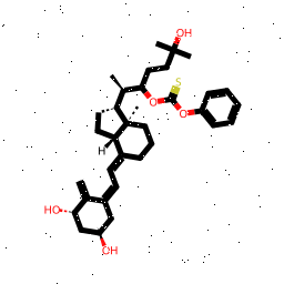 C=C1/C(=C\C=C2/CCC[C@]3(C)[C@@H]([C@@H](C)C(CCC(C)(C)O)OC(=S)Oc4ccccc4)CC[C@@H]23)C[C@@H](O)C[C@@H]1O